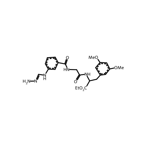 CCOC(=O)C(Cc1cc(OC)cc(OC)c1)NC(=O)CNC(=O)c1cccc(NC=NN)c1